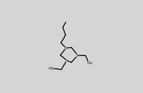 CCCCN1CN(CO)CN(CO)C1